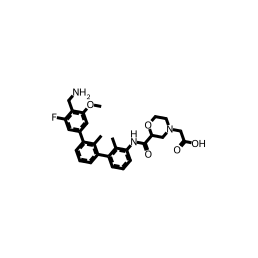 COc1cc(-c2cccc(-c3cccc(NC(=O)C4CN(CC(=O)O)CCO4)c3C)c2C)cc(F)c1CN